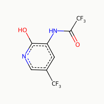 O=C(Nc1cc(C(F)(F)F)cnc1O)C(F)(F)F